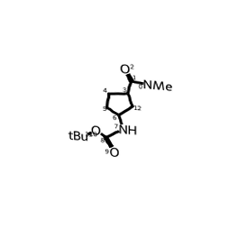 CNC(=O)C1CCC(NC(=O)OC(C)(C)C)C1